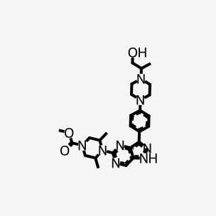 COC(=O)N1CC(C)N(c2ncc3[nH]nc(-c4ccc(N5CCN(C(C)CO)CC5)cc4)c3n2)C(C)C1